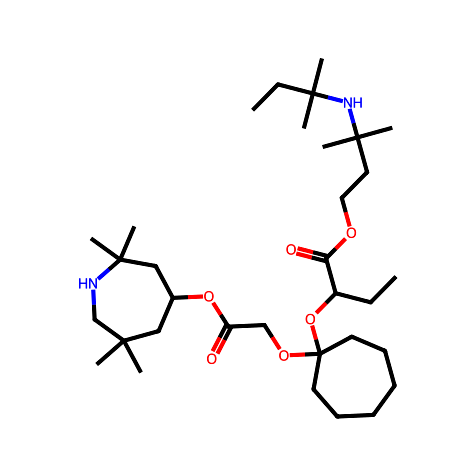 CCC(OC1(OCC(=O)OC2CC(C)(C)CNC(C)(C)C2)CCCCCC1)C(=O)OCCC(C)(C)NC(C)(C)CC